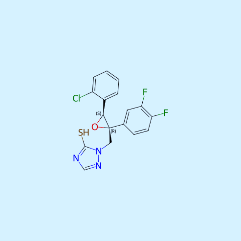 Fc1ccc([C@]2(Cn3ncnc3S)O[C@H]2c2ccccc2Cl)cc1F